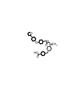 C[As](CC(=O)Nc1ccc(Oc2ccc(-c3ccco3)cc2)cc1)C1CCN(Cc2ccc(C(=O)O)cc2)CC1